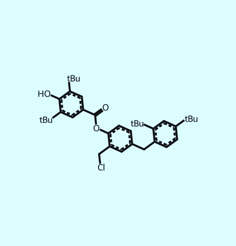 CC(C)(C)c1ccc(Cc2ccc(OC(=O)c3cc(C(C)(C)C)c(O)c(C(C)(C)C)c3)c(CCl)c2)c(C(C)(C)C)c1